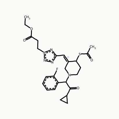 CCOC(=O)CCn1nnc(/C=C2\CN(C(C(=O)C3CC3)c3ccccc3F)CCC2SC(C)=O)n1